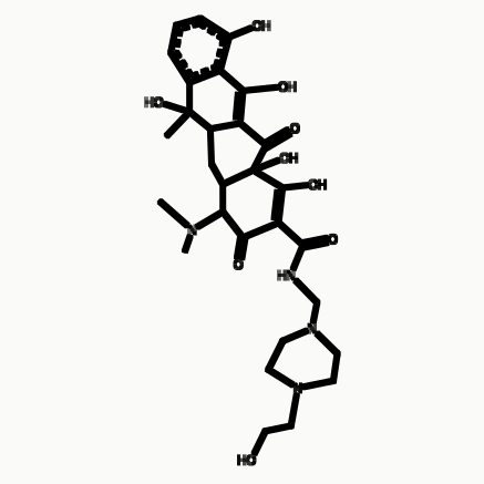 CN(C)C1C(=O)C(C(=O)NCN2CCN(CCO)CC2)=C(O)C2(O)C(=O)C3=C(O)c4c(O)cccc4C(C)(O)C3CC12